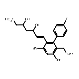 COCc1c(C(C)C)nc(C(C)C)c(/C=C/C(O)CC(O)CC(=O)O)c1-c1ccc(F)cc1